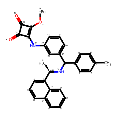 Cc1ccc(C(N[C@H](C)c2cccc3ccccc23)c2cccc(Nc3c(OC(C)(C)C)c(=O)c3=O)c2)cc1